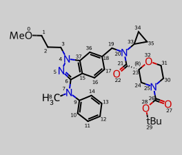 COCCCn1nc(N(C)c2ccccc2)c2ccc(CN(C(=O)[C@H]3CN(C(=O)OC(C)(C)C)CCO3)C3CC3)cc21